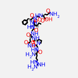 CC[C@H](C)[C@H](NC(=O)CNC(=O)[C@H](CCC(N)=O)NC(=O)[C@@H]1CCCN1C(=O)CNC(=O)[C@@H](N)CCCNC(=N)N)C(=O)N[C@@H](Cc1ccccc1)C(=O)NCC(=O)N[C@@H](CCC(N)=O)C(=O)O